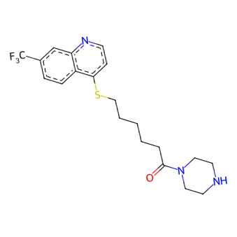 O=C(CCCCCSc1ccnc2cc(C(F)(F)F)ccc12)N1CCNCC1